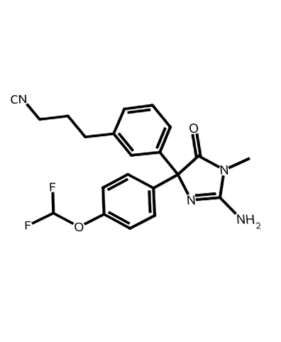 [C-]#[N+]CCCc1cccc(C2(c3ccc(OC(F)F)cc3)N=C(N)N(C)C2=O)c1